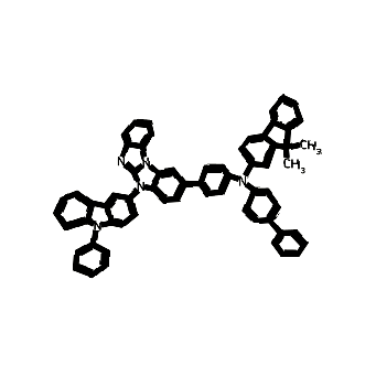 CC1(C)c2ccccc2-c2ccc(N(c3ccc(-c4ccccc4)cc3)c3ccc(-c4ccc5c(c4)n4c6ccccc6nc4n5-c4ccc5c(c4)c4ccccc4n5-c4ccccc4)cc3)cc21